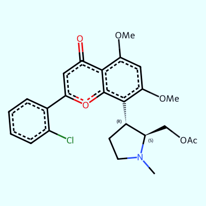 COc1cc(OC)c2c(=O)cc(-c3ccccc3Cl)oc2c1[C@H]1CCN(C)[C@@H]1COC(C)=O